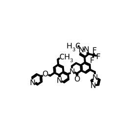 CCc1cc(COc2ccncc2)c2nccc(N3CCc4c(cc(Cn5ccnc5)cc4-c4cn(C)nc4C(F)(F)F)C3=O)c2c1